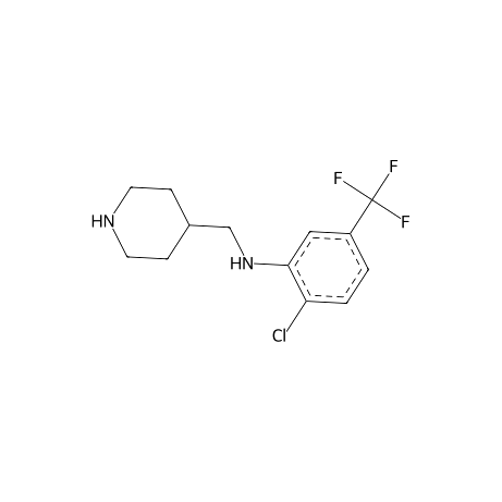 FC(F)(F)c1ccc(Cl)c(NCC2CCNCC2)c1